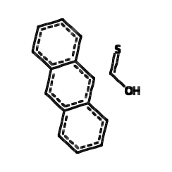 OC=S.c1ccc2cc3ccccc3cc2c1